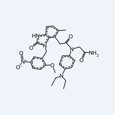 CCN(CC)c1ccc(N(CC(N)=O)C(=O)Cc2c(C)ccc3[nH]c(=O)n(Cc4cc([N+](=O)[O-])ccc4OC)c23)cc1